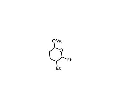 CCC1CCC(OC)OC1CC